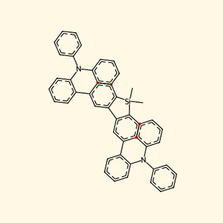 C[Si]1(C)c2ccc(-c3ccccc3N(c3ccccc3)c3ccccc3)cc2-c2cc(-c3ccccc3N(c3ccccc3)c3ccccc3)ccc21